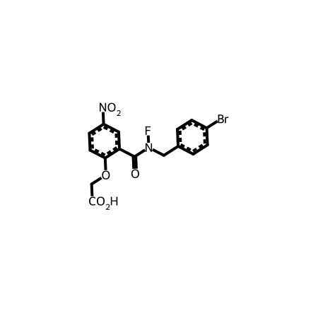 O=C(O)COc1ccc([N+](=O)[O-])cc1C(=O)N(F)Cc1ccc(Br)cc1